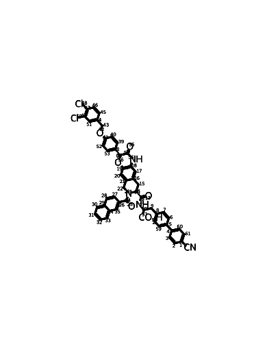 N#Cc1ccc(-c2ccc(CC(NC(=O)[C@@H]3Cc4cc5c(cc4CN3C(=O)c3ccc4ccccc4c3)O[C@@H](c3ccc(OCc4ccc(Cl)c(Cl)c4)cc3)C(=O)N5)C(=O)O)cc2)cc1